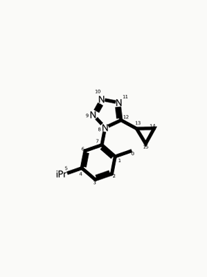 Cc1ccc(C(C)C)cc1-n1nnnc1C1CC1